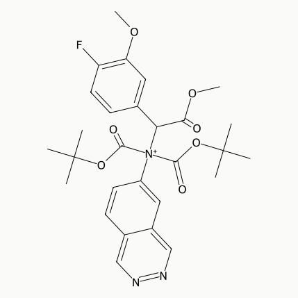 COC(=O)C(c1ccc(F)c(OC)c1)[N+](C(=O)OC(C)(C)C)(C(=O)OC(C)(C)C)c1ccc2cnncc2c1